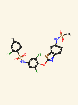 CS(=O)(=O)Nc1ccc2nc(Oc3c(Cl)cc(NS(=O)(=O)c4ccc(C(F)(F)F)cc4Cl)cc3Cl)sc2c1